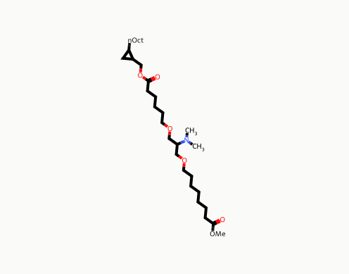 CCCCCCCCC1CC1COC(=O)CCCCCOCC(COCCCCCCCC(=O)OC)N(C)C